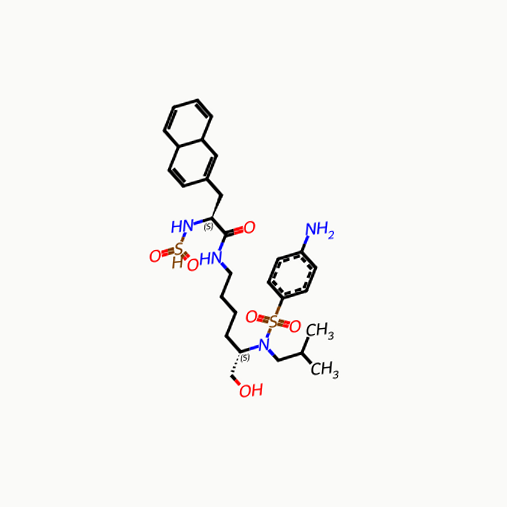 CC(C)CN([C@H](CO)CCCCNC(=O)[C@H](CC1=CC2C=CC=CC2C=C1)N[SH](=O)=O)S(=O)(=O)c1ccc(N)cc1